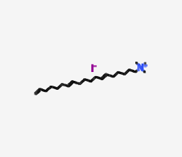 C=CCCCCC=CCCCCC=CCCCCC[N+](C)(C)C.[I-]